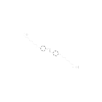 OCCCCCCOc1ccc(/C=N/c2ccc(OCCCCCCO)cc2)cc1